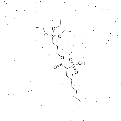 CCCCCCC(C(=O)OCCC[Si](OCC)(OCC)OCC)S(=O)(=O)O